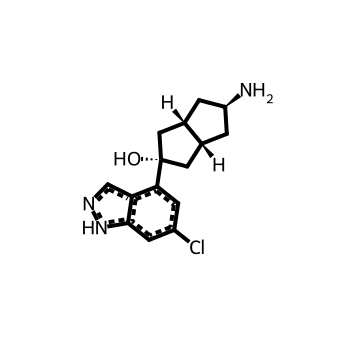 N[C@H]1C[C@@H]2C[C@@](O)(c3cc(Cl)cc4[nH]ncc34)C[C@@H]2C1